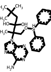 CC(C)(C)CC(O)(O)C(C)(CO[SiH](c1ccccc1)c1ccccc1)n1cnc2c(N)ncnc21